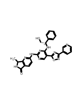 CC1NC(=O)c2ccc(Nc3ncc(-c4nc(-c5cccnc5)no4)c(N[C@H](CO)c4ccccc4)n3)nc21